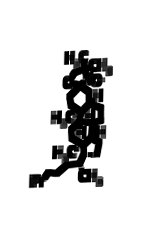 CC(C)CCC[C@@H](C)[C@H]1CC[C@H]2[C@@H]3CC[C@H]4CC5(CC[C@]4(C)[C@H]3CC[C@]12C)OCC(C)(C)N5[O]